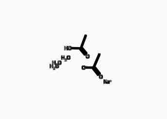 CC(=O)O.CC(=O)[O-].O.O.O.[Na+]